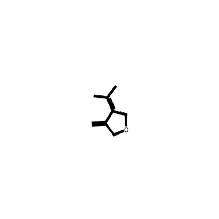 C=C1COCC1=C(C)C